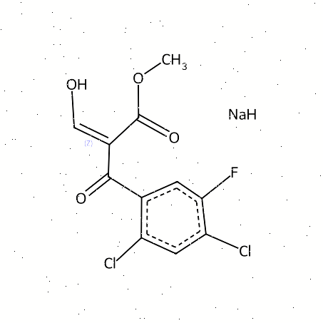 COC(=O)/C(=C\O)C(=O)c1cc(F)c(Cl)cc1Cl.[NaH]